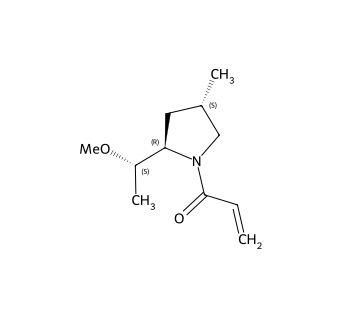 C=CC(=O)N1C[C@@H](C)C[C@@H]1[C@H](C)OC